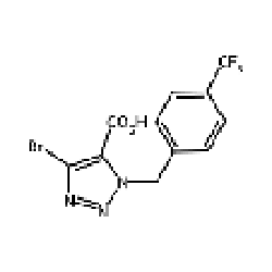 O=C(O)c1c(Br)nnn1Cc1ccc(C(F)(F)F)cc1